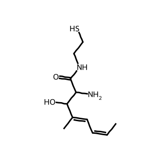 C/C=C\C=C(/C)C(O)C(N)C(=O)NCCS